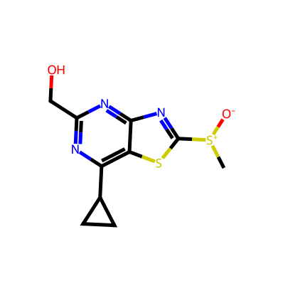 C[S+]([O-])c1nc2nc(CO)nc(C3CC3)c2s1